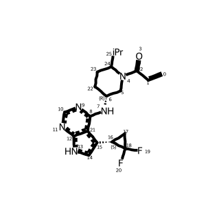 C=CC(=O)N1C[C@H](Nc2ncnc3[nH]cc([C@@H]4CC4(F)F)c23)CCC1C(C)C